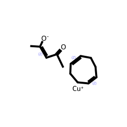 C1=C\CC/C=C\CC/1.CC(=O)/C=C(/C)[O-].[Cu+]